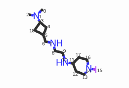 CN(C)C1CC(CNCCNC2CCN(I)CC2)C1